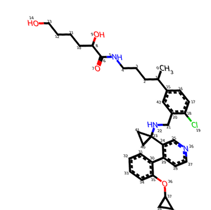 CC(CCCNC(=O)C(O)CCCCO)c1ccc(Cl)c(CNC2(c3cnccc3-c3ccccc3OC3CC3)CC2)c1